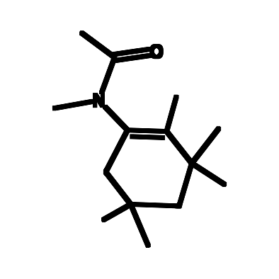 CC(=O)N(C)C1=C(C)C(C)(C)CC(C)(C)C1